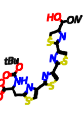 COC(O)C1CSC(c2csc(-c3csc(-c4csc(C[C@H](NC(=O)OC(C)(C)C)C(=O)OC(C)(C)C)n4)n3)n2)=N1